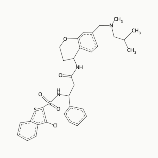 CC(C)CN(C)Cc1ccc2c(c1)OCCC2NC(=O)CC(NS(=O)(=O)c1sc2ccccc2c1Cl)c1ccccc1